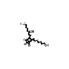 CCCCCC(O)/C=C/C1C2CC(C(=O)C(=O)C2=O)C1C=CCCCCCO